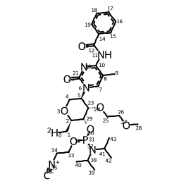 [2H]C[C@H]1OC[C@@H](n2cc(C)c(NC(=O)c3ccccc3)nc2=O)[C@H](OCCOC)[C@@H]1OP(OCC[N+]#[C-])N(C(C)C)C(C)C